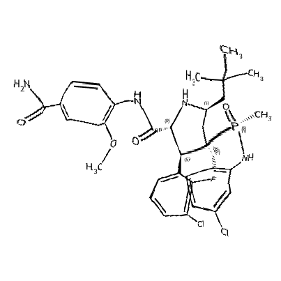 COc1cc(C(N)=O)ccc1NC(=O)[C@@H]1N[C@@H](CC(C)(C)C)[C@]2(c3ccc(Cl)cc3N[P@]2(C)=O)[C@H]1c1cccc(Cl)c1F